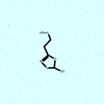 CCCCCCCC1=NSC(S)O1